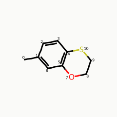 Cc1ccc2c(c1)OCCS2